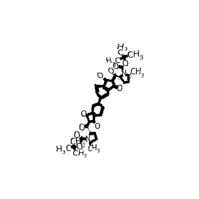 C[C@@H]1CC[C@@H](C(=O)C2C(=O)c3ccc(-c4ccc5c(c4)C(=O)C(C(=O)[C@@H]4CC[C@@H](C)N4C(=O)OC(C)(C)C)C5=O)cc3C2=O)N1C(=O)OC(C)(C)C